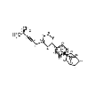 C=C(C)C#CCN1CCCC(c2cnc(N3C4CCC3CN(C)C4)nc2)C1